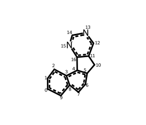 c1ccc2c3c(ccc2c1)Cc1cncnc1-3